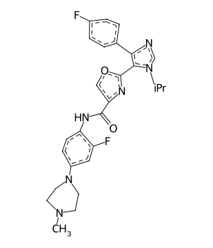 CC(C)n1cnc(-c2ccc(F)cc2)c1-c1nc(C(=O)Nc2ccc(N3CCN(C)CC3)cc2F)co1